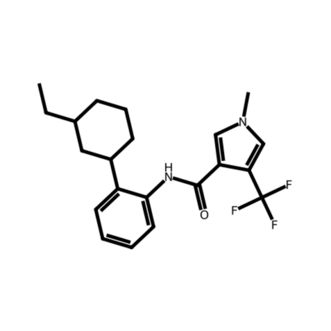 CCC1CCCC(c2ccccc2NC(=O)c2cn(C)cc2C(F)(F)F)C1